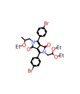 CCOC(C)CN1C(=O)C2=C(c3ccc(Br)cc3)N(CC(OCC)OCC)C(=O)C2=C1c1ccc(Br)cc1